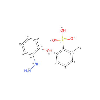 Cc1ccccc1S(=O)(=O)O.NNc1ccccc1O